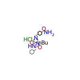 CCCCN1C(=O)[C@H](CC2CCCCC2)NC(=O)C12CCN(Cc1ccc(C(N)=O)cc1)CC2.Cl